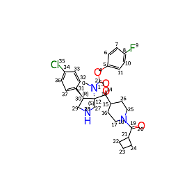 CN(C(=O)Oc1ccc(F)cc1)[C@]1(C(=O)C2CCN(C(=O)C3CCC3)CC2)CNC[C@H]1c1ccc(Cl)cc1